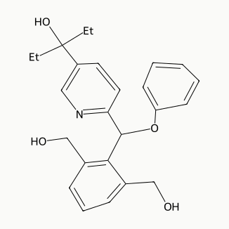 CCC(O)(CC)c1ccc(C(Oc2ccccc2)c2c(CO)cccc2CO)nc1